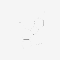 COc1cccc(OC)c1-c1nc2ccc(C(=O)O)cc2n1CCO